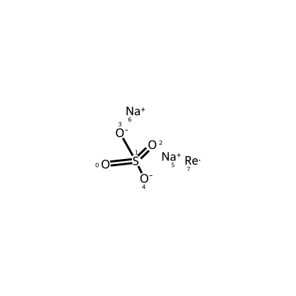 O=S(=O)([O-])[O-].[Na+].[Na+].[Re]